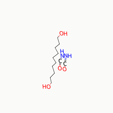 N=C=O.N=C=O.OCCCCCCCCCCO